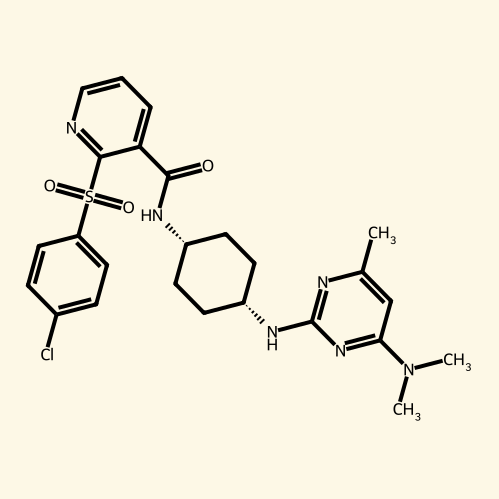 Cc1cc(N(C)C)nc(N[C@H]2CC[C@@H](NC(=O)c3cccnc3S(=O)(=O)c3ccc(Cl)cc3)CC2)n1